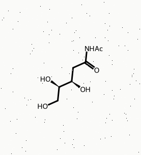 CC(=O)NC(=O)C[C@@H](O)[C@H](O)CO